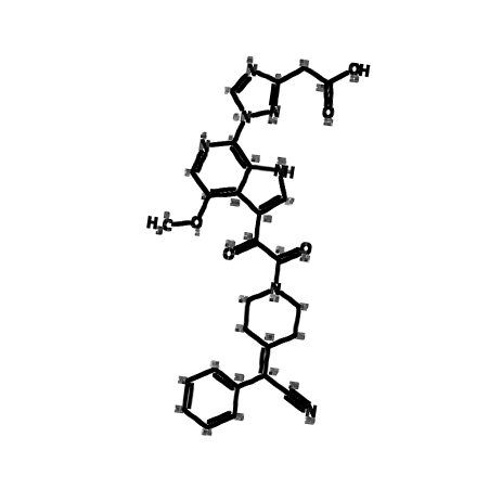 COc1cnc(-n2cnc(CC(=O)O)n2)c2[nH]cc(C(=O)C(=O)N3CCC(=C(C#N)c4ccccc4)CC3)c12